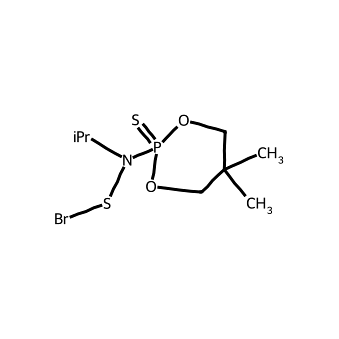 CC(C)N(SBr)P1(=S)OCC(C)(C)CO1